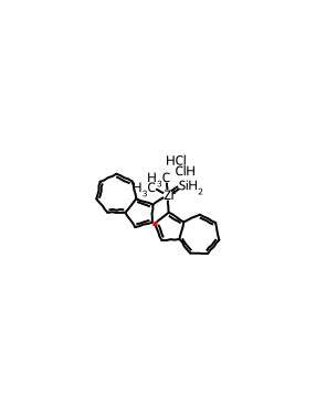 Cl.Cl.[CH3][Zr]([CH3])(=[SiH2])([c]1ccc2cccccc1-2)[c]1ccc2cccccc1-2